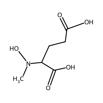 CN(O)C(CCC(=O)O)C(=O)O